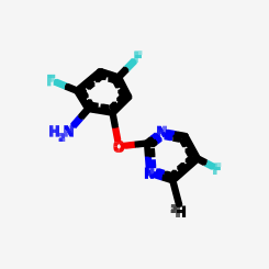 [2H]c1nc(Oc2cc(F)cc(F)c2N)ncc1F